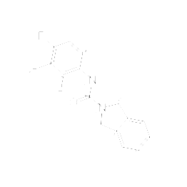 O=C(Nc1ccc(F)c(F)c1F)N1Cc2ccccc2C1